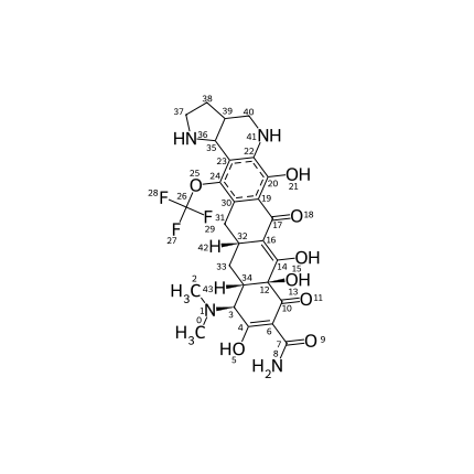 CN(C)[C@@H]1C(O)=C(C(N)=O)C(=O)[C@@]2(O)C(O)=C3C(=O)c4c(O)c5c(c(OC(F)(F)F)c4C[C@H]3C[C@@H]12)C1NCCC1CN5